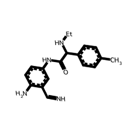 CCNC(C(=O)Nc1ccc(N)c(C=N)c1)c1ccc(C)cc1